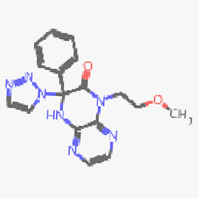 COCCN1C(=O)C(c2ccccc2)(n2ccnn2)Nc2nccnc21